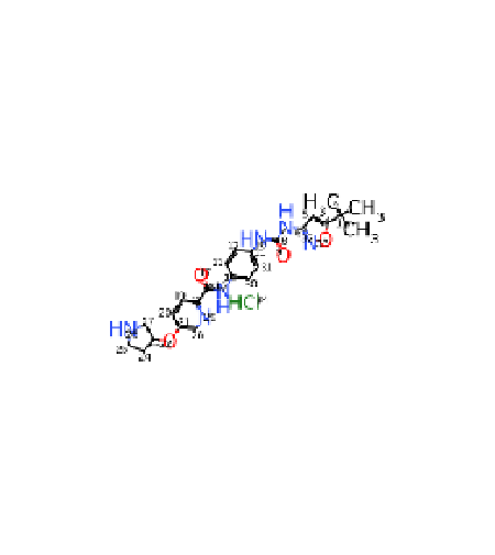 CC(C)(C)c1cc(NC(=O)Nc2ccc(NC(=O)c3ccc(OC4CCNC4)cn3)cc2)no1.Cl